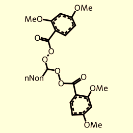 [CH2]CCCCCCCC[C](OOC(=O)c1ccc(OC)cc1OC)OOC(=O)c1ccc(OC)cc1OC